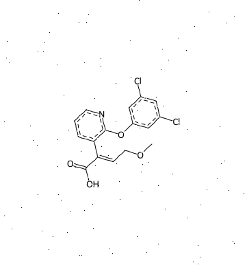 COC/C=C(/C(=O)O)c1cccnc1Oc1cc(Cl)cc(Cl)c1